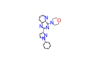 c1ccc(-n2ccc(-c3nc(N4CCOCC4)c4ncccc4n3)n2)cc1